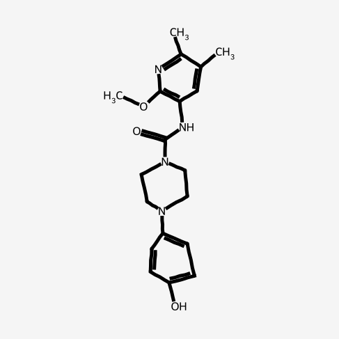 COc1nc(C)c(C)cc1NC(=O)N1CCN(c2ccc(O)cc2)CC1